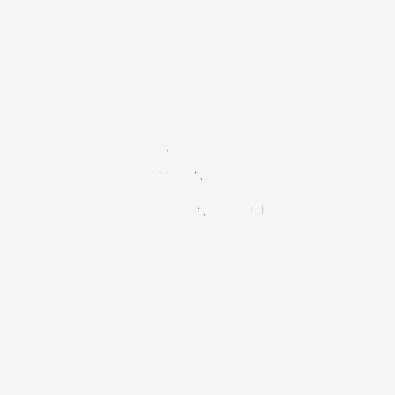 CCn1c(CO)nc2c1CCCCC2=O